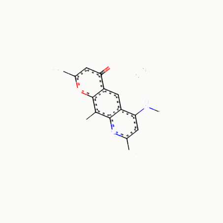 CCCc1c2nc(C(=O)[O-])cc(NCC)c2cc2c(=O)cc(C(=O)[O-])oc12.[Na+].[Na+]